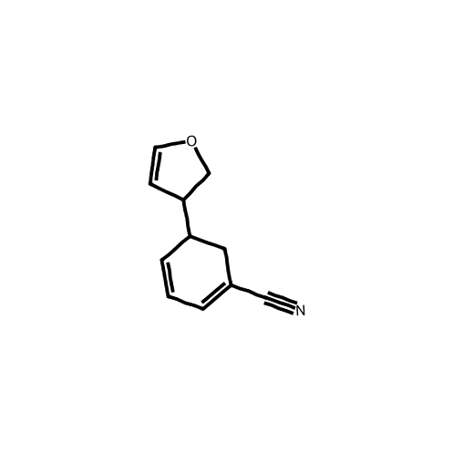 N#CC1=CC=CC(C2C=COC2)C1